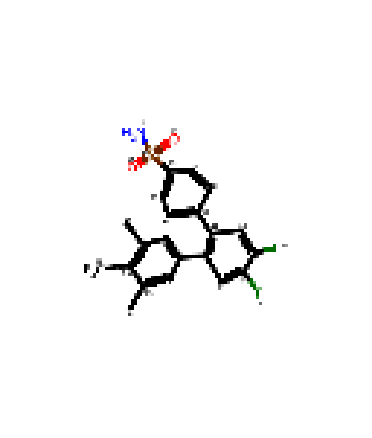 Cc1cc(-c2cc(F)c(F)cc2-c2ccc(S(N)(=O)=O)cc2)cc(C)c1C(F)(F)F